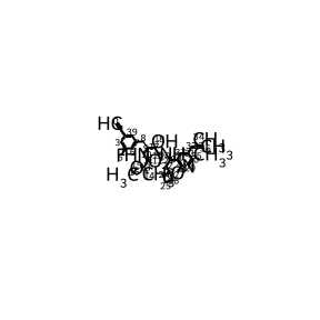 C#Cc1cc(F)cc(C[C@H](NC(=O)[C@@H](C)OC)[C@H](O)CN[C@H]2CC3(CCC3)Oc3ncc(CC(C)(C)C)cc32)c1